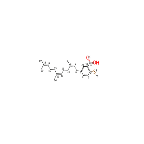 CSc1ccc(CC=C(C)CCC=C(C)CCC=C(C)C)cc1C(=O)O